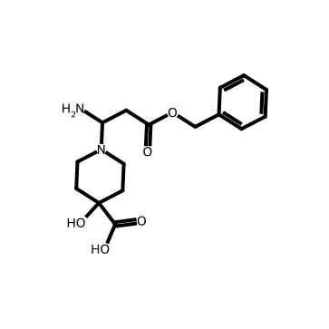 NC(CC(=O)OCc1ccccc1)N1CCC(O)(C(=O)O)CC1